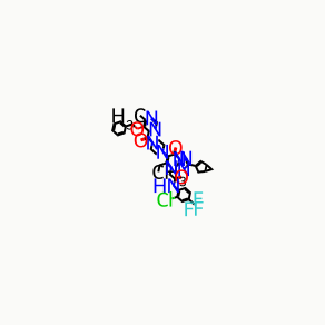 CCc1c(N2CCN(C(=O)c3ncnc(C)c3OCc3ccccc3)CC2)c(=O)n2nc(C3=CC4CC4C3)nc2n1CC(=O)Nc1ccc(C(F)(F)F)cc1Cl